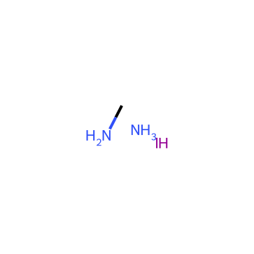 CN.I.N